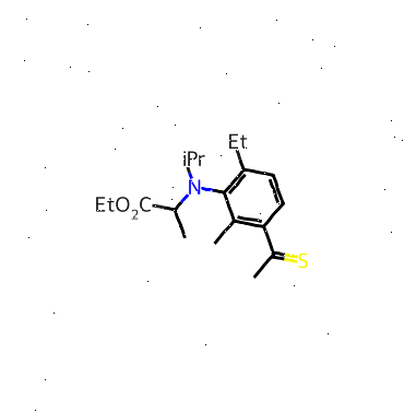 CCOC(=O)C(C)N(c1c(CC)ccc(C(C)=S)c1C)C(C)C